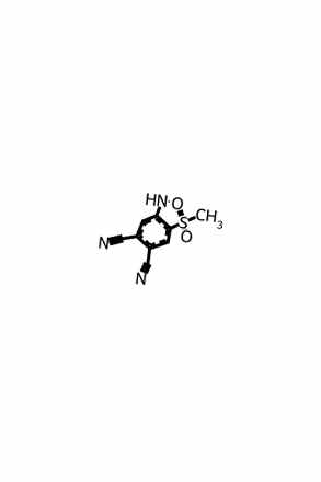 CS(=O)(=O)c1cc(C#N)c(C#N)cc1[NH]